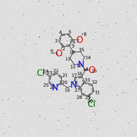 COc1cccc(OC)c1C1CCN(C(=O)c2cn(Cc3ccc(Cl)cn3)c3cc(Cl)ccc23)CC1